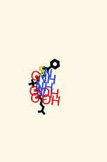 CC(C)CC[C@H](O)C(=O)N(O)C(=O)N[C@H](C(=O)Nc1nc(-c2ccccc2)cs1)C(C)(C)C